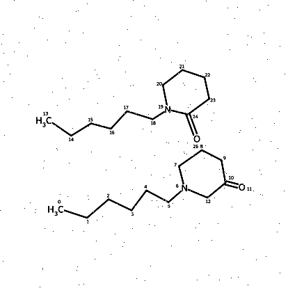 CCCCCCN1CCCC(=O)C1.CCCCCCN1CCCCC1=O